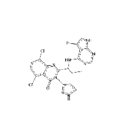 CCC(Nc1ncnc2[nH]cc(F)c12)c1nc2c(Cl)ccc(Cl)c2c(=O)n1-c1cc[nH]n1